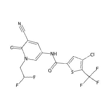 N#Cc1cc(NC(=O)c2cc(Cl)c(C(F)(F)F)s2)cn(CC(F)F)c1=O